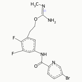 C/N=C(/N)OCCc1cc(NC(=O)c2ccc(Br)cn2)cc(F)c1F